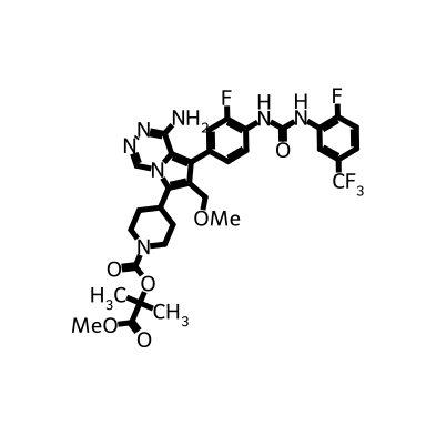 COCc1c(-c2ccc(NC(=O)Nc3cc(C(F)(F)F)ccc3F)c(F)c2)c2c(N)nncn2c1C1CCN(C(=O)OC(C)(C)C(=O)OC)CC1